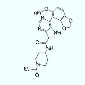 CCCOc1ccc2c(c1-c1ncnc3c(C(=O)NC4CCN(C(=O)CC)CC4)c[nH]c13)OCO2